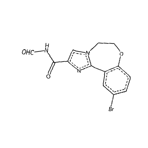 O=CNC(=O)c1cn2c(n1)-c1cc(Br)ccc1OCC2